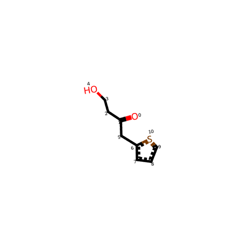 O=C(CCO)Cc1cccs1